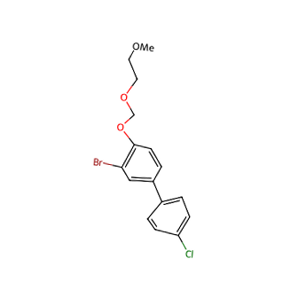 COCCOCOc1ccc(-c2ccc(Cl)cc2)cc1Br